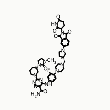 CN1CCN([C@@H]2CCCN(c3nnc(C(N)=O)c(Nc4ccc(N5CCN(C[C@@H]6CCN(c7ccc8c(c7)C(=O)N(C7CCC(=O)NC7=O)C8=O)C6)CC5)c(F)c4)n3)C2)C1=O